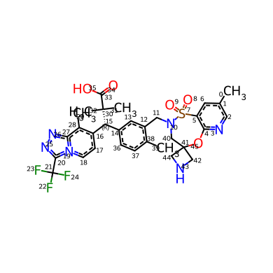 Cc1cnc2c(c1)S(=O)(=O)N(Cc1cc([C@H](c3ccn4c(C(F)(F)F)nnc4c3C)C(C)(C)C(=O)O)ccc1C)CC1(CNC1)O2